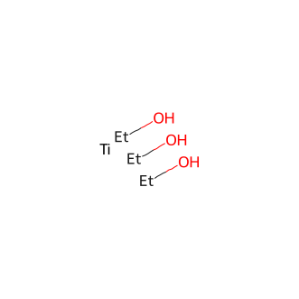 CCO.CCO.CCO.[Ti]